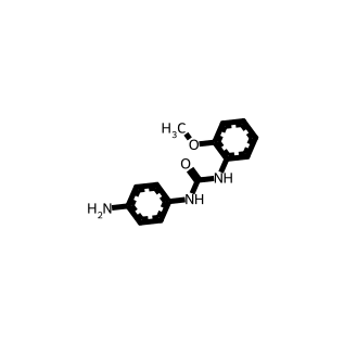 COc1ccccc1NC(=O)Nc1ccc(N)cc1